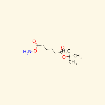 CC(C)(C)OC(=O)CCCCC(=O)ON